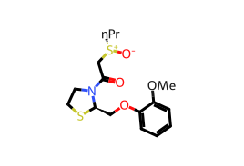 CCC[S@+]([O-])CC(=O)N1CCS[C@@H]1COc1ccccc1OC